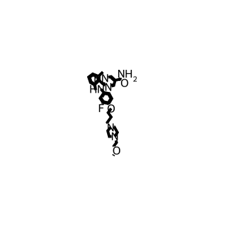 COCCN1CCN(CCCOc2ccc(NC3(c4c(C)cccc4C)N=CC(C(N)=O)=CN3)cc2F)CC1